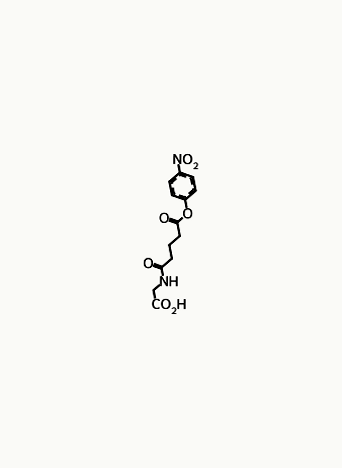 O=C(O)CNC(=O)CCCC(=O)Oc1ccc([N+](=O)[O-])cc1